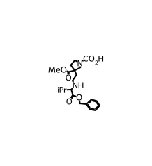 COC(=O)C1(CCNC(C(=O)OCc2ccccc2)C(C)C)CCN(C(=O)O)C1